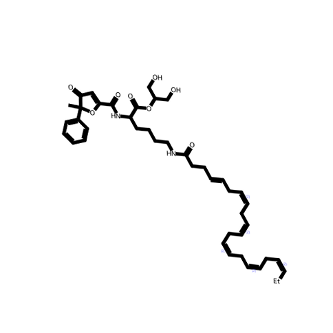 CC/C=C\C/C=C\C/C=C\C/C=C\C/C=C\CC=CCCC(=O)NCCCCC(NC(=O)C1=CC(=O)C(C)(c2ccccc2)O1)C(=O)OC(CO)CO